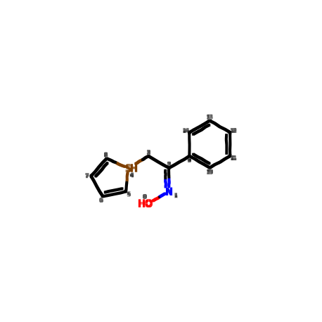 ON=C(C[SH]1C=CC=C1)c1ccccc1